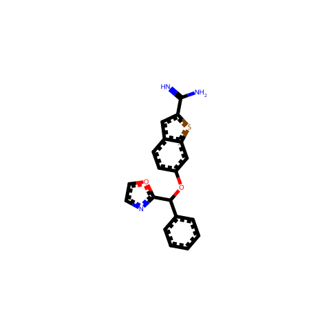 N=C(N)c1cc2ccc(OC(c3ccccc3)c3ncco3)cc2s1